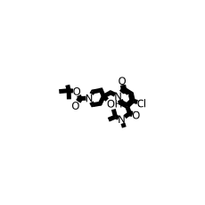 CC(C)N(C)C(=O)c1cn(CC2(O)CCN(C(=O)OC(C)(C)C)CC2)c(=O)cc1Cl